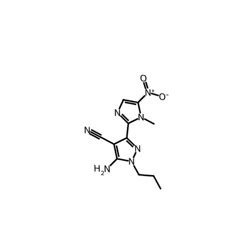 CCCn1nc(-c2ncc([N+](=O)[O-])n2C)c(C#N)c1N